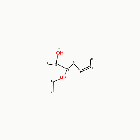 C/C=C\CC(OCC)C(C)O